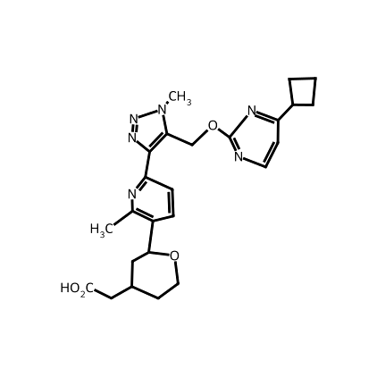 Cc1nc(-c2nnn(C)c2COc2nccc(C3CCC3)n2)ccc1C1CC(CC(=O)O)CCO1